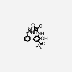 CCN(Cc1ccccc1)Nc1c(Nc2cccc(C(=O)N(C)C)c2O)c(=O)c1=O